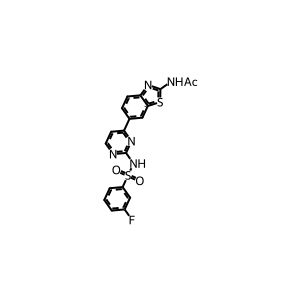 CC(=O)Nc1nc2ccc(-c3ccnc(NS(=O)(=O)c4cccc(F)c4)n3)cc2s1